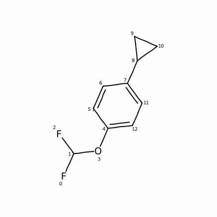 FC(F)Oc1[c]cc(C2CC2)cc1